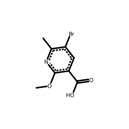 COc1nc(C)c(Br)cc1C(=O)O